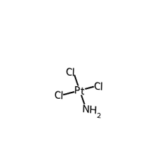 [NH2][Pt]([Cl])([Cl])[Cl]